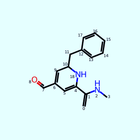 C=C(NC)C1=CC(C=O)=CC(Cc2ccccc2)N1